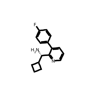 N[C@H](c1ncccc1-c1ccc(F)cc1)C1CCC1